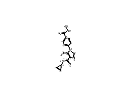 CCNC(=O)c1ccc(-n2nnc(C(=O)NC3CC3)c2CF)cc1